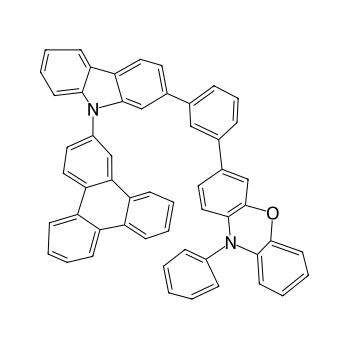 c1ccc(N2c3ccccc3Oc3cc(-c4cccc(-c5ccc6c7ccccc7n(-c7ccc8c9ccccc9c9ccccc9c8c7)c6c5)c4)ccc32)cc1